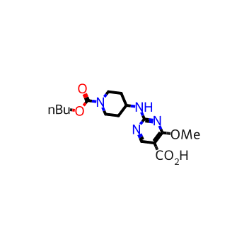 CCCCOC(=O)N1CCC(Nc2ncc(C(=O)O)c(OC)n2)CC1